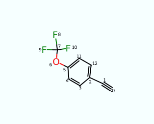 [C]#Cc1ccc(OC(F)(F)F)cc1